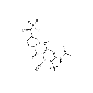 C#Cc1c(C(=O)C2CCN(C(=O)C(F)(F)F)CC2)c(OC)cc(NC(C)=O)c1[Si](C)(C)C